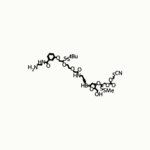 CSS[C@H](COC(=O)OCSC#N)O[C@@H]1C[C@H](BC#CCNC(=O)COCCOC(COc2cccc(C(=O)NCCN)c2)SSC(C)(C)C)OC1CO